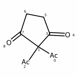 CC(=O)C1(C(C)=O)C(=O)CCC1=O